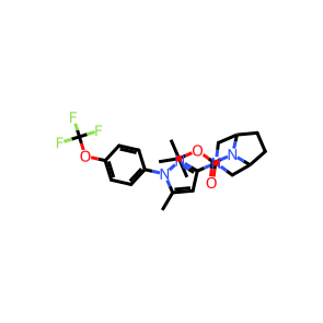 Cc1cc(N2CC3CCC(C2)N3C(=O)OC(C)(C)C)nn1-c1ccc(OC(F)(F)F)cc1